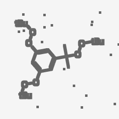 CC(C)(C)OOc1cc(OOC(C)(C)C)cc(C(C)(C)OOC(C)(C)C)c1